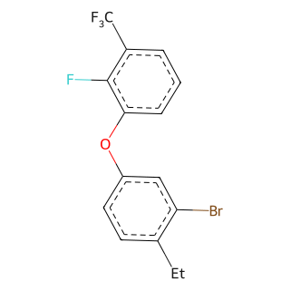 CCc1ccc(Oc2cccc(C(F)(F)F)c2F)cc1Br